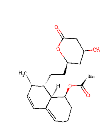 CC[C@H](C)C(=O)O[C@H]1CCC=C2C=C[C@H](C)[C@H](CC[C@@H]3CC(O)CC(=O)O3)[C@H]21